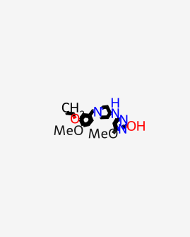 C=CCOc1cc(CN2CCC(Nc3cc(OC)nc(O)n3)CC2)ccc1OC